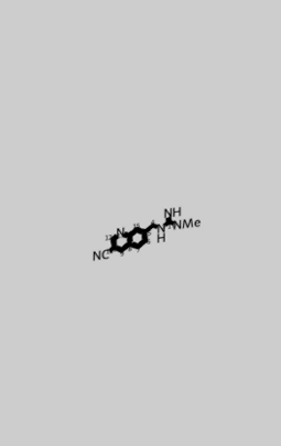 CNC(=N)NCc1ccc2cc(C#N)cnc2c1